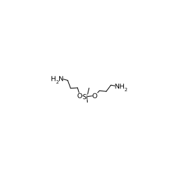 C[Si](C)(OCCCN)OCCCN